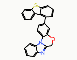 c1ccc2c(c1)nc1n2-c2ccc(-c3cccc4sc5ccccc5c34)cc2OC1